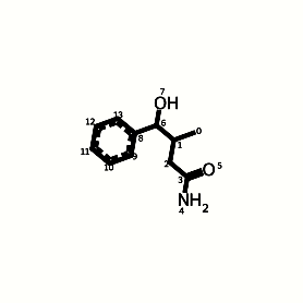 CC(CC(N)=O)C(O)c1ccccc1